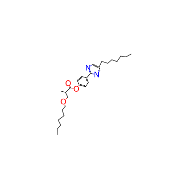 CCCCCCCOCC(C)C(=O)Oc1ccc(-c2ncc(CCCCCCC)cn2)cc1